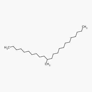 CCCC[CH]CCCCCCCC(C)CCCCCCCCCC